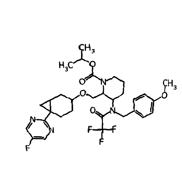 COc1ccc(CN(C(=O)C(F)(F)F)C2CCCN(C(=O)OC(C)C)C2COC2CCC3(c4ncc(F)cn4)CC3C2)cc1